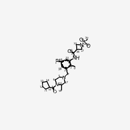 Cc1c(CN2CCN(C(=O)C3CCCC3)C(C)C2)cc(F)cc1NC(=O)C1CN(S(C)(=O)=O)C1